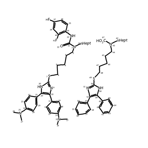 CCCCCCCN(CCCCCSc1nc(-c2ccc(N(C)C)cc2)c(-c2ccc(N(C)C)cc2)[nH]1)C(=O)Nc1ccc(F)cc1F.CCCCCCCN(CCCCCSc1nc(-c2ccccc2)c(-c2ccccc2)[nH]1)C(=O)O